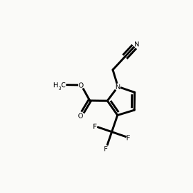 COC(=O)c1c(C(F)(F)F)ccn1CC#N